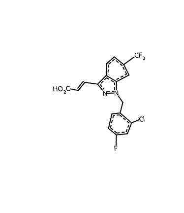 O=C(O)/C=C/c1nn(Cc2ccc(F)cc2Cl)c2cc(C(F)(F)F)ccc12